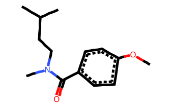 COc1ccc(C(=O)N(C)CCC(C)C)cc1